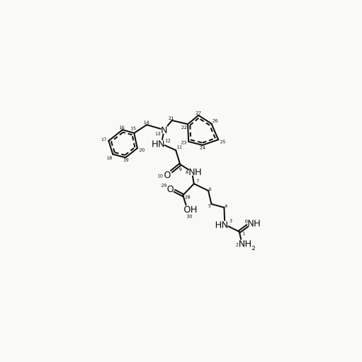 N=C(N)NCCCC(NC(=O)CNN(Cc1ccccc1)Cc1ccccc1)C(=O)O